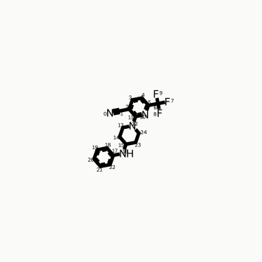 N#Cc1ccc(C(F)(F)F)nc1N1CCC(Nc2ccccc2)CC1